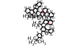 CC(C)(C)c1ccc(-c2cc3c(c4c2oc2ccccc24)-c2ccc(N(c4ccc5c(c4)C(C)(C)c4c6c(c7oc8ccccc8c7c4-5)-c4ccccc4C6(C)C)c4c(-c5ccccc5)cccc4-c4ccccc4)cc2C3(C)C)cc1